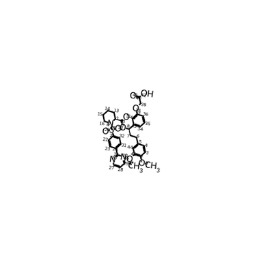 COc1ccc(CC[C@@H](OC(=O)[C@@H]2CCCCN2S(=O)(=O)c2ccc(-c3ncccn3)cc2)c2cccc(OCC(=O)O)c2)cc1OC